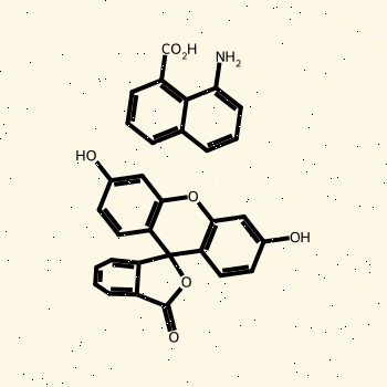 Nc1cccc2cccc(C(=O)O)c12.O=C1OC2(c3ccc(O)cc3Oc3cc(O)ccc32)c2ccccc21